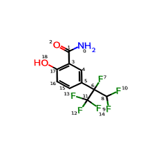 NC(=O)c1cc(C(F)(C(F)F)C(F)(F)F)ccc1O